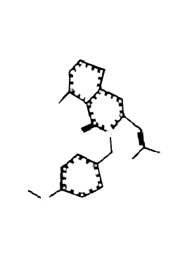 COc1ccc(Cn2c(C=C(F)F)cc3cccc(F)c3c2=O)cc1